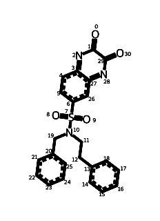 O=C1N=c2ccc(S(=O)(=O)N(CCc3ccccc3)Cc3ccccc3)cc2=NC1=O